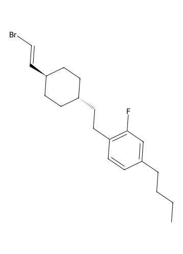 CCCCc1ccc(CC[C@H]2CC[C@H](/C=C/Br)CC2)c(F)c1